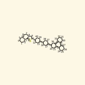 c1ccc2c(c1)ccc1cc(-c3ccc(-c4ccc(-c5ccc6c7ccccc7c7ccccc7c6c5)cc4)cc3)sc12